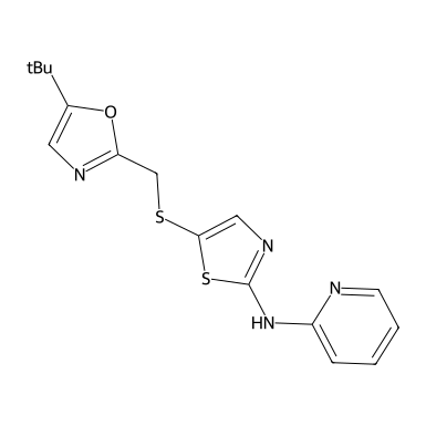 CC(C)(C)c1cnc(CSc2cnc(Nc3ccccn3)s2)o1